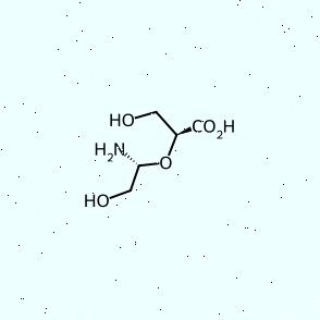 N[C@@H](CO)O[C@@H](CO)C(=O)O